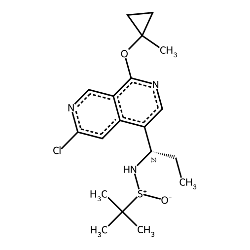 CC[C@H](N[S+]([O-])C(C)(C)C)c1cnc(OC2(C)CC2)c2cnc(Cl)cc12